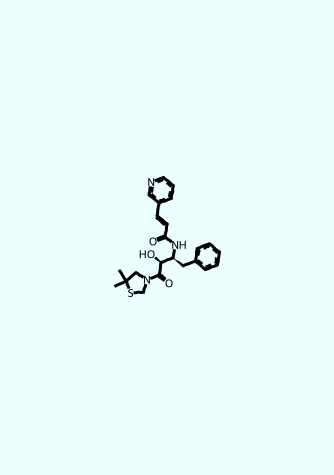 CC1(C)CN(C(=O)[C@@H](O)[C@H](Cc2ccccc2)NC(=O)/C=C/c2cccnc2)CS1